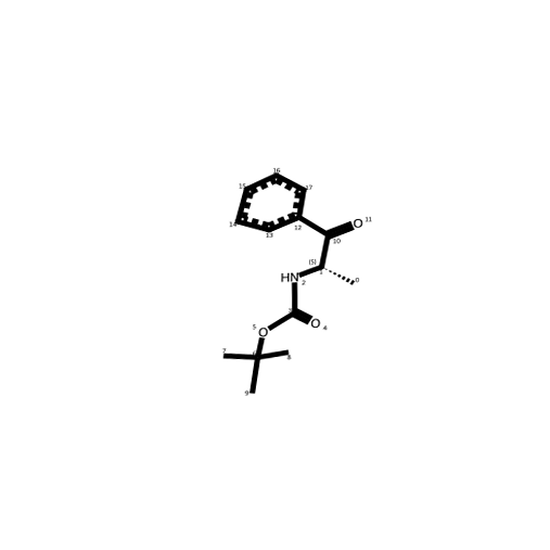 C[C@H](NC(=O)OC(C)(C)C)C(=O)c1ccccc1